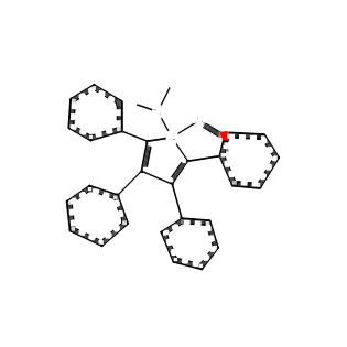 C/C=N\[Si]1(N(C)C)C(c2ccccc2)=C(c2ccccc2)C(c2ccccc2)=C1c1ccccc1